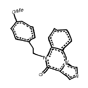 COc1ccc(Cn2c(=O)c3cncn3c3ccccc32)cc1